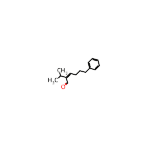 CC(C)C(C=O)=CCCCc1ccccc1